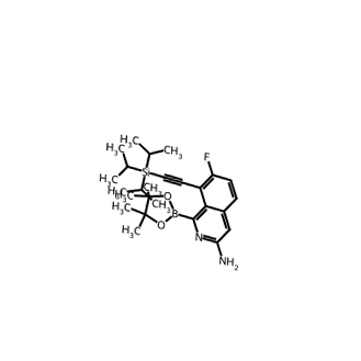 CC(C)[Si](C#Cc1c(F)ccc2cc(N)nc(B3OC(C)(C)C(C)(C)O3)c12)(C(C)C)C(C)C